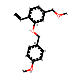 C=Cc1ccc(COC)cc1OCc1ccc(OC)cc1